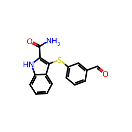 NC(=O)c1[nH]c2ccccc2c1Sc1cccc(C=O)c1